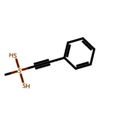 CS(S)(S)C#Cc1ccccc1